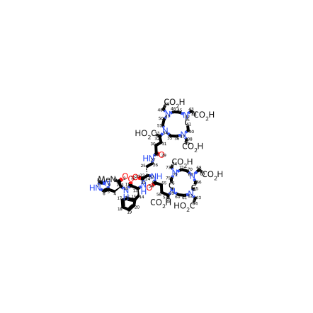 CNC(=O)[C@H](Cc1c[nH]cn1)NC(=O)[C@H](Cc1ccccc1)NC(=O)[C@H](CCNC(=O)CCC(C(=O)O)N1CCN(CC(=O)O)CCN(CC(=O)O)CCN(CC(=O)O)CC1)NC(=O)CCC(C(=O)O)N1CCN(CC(=O)O)CCN(CC(=O)O)CCN(CC(=O)O)CC1